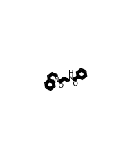 O=C(NCCC(=O)N1CCCC2CCCCC21)C1CCCCC1